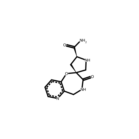 NC(=O)[C@@H]1C[C@]2(CN1)Oc1cccnc1CNC2=O